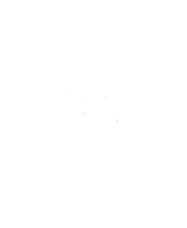 Fc1nc(Cl)ccc1Cl